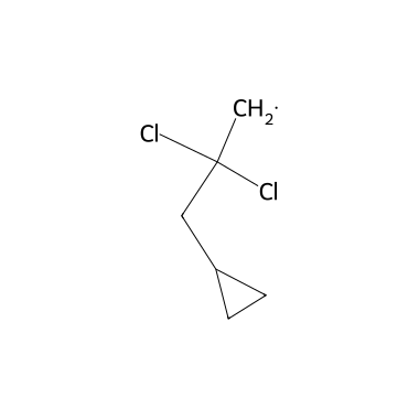 [CH2]C(Cl)(Cl)CC1CC1